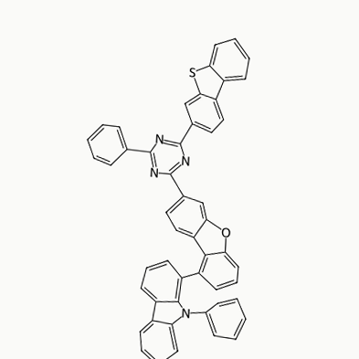 c1ccc(-c2nc(-c3ccc4c(c3)oc3cccc(-c5cccc6c7ccccc7n(-c7ccccc7)c56)c34)nc(-c3ccc4c(c3)sc3ccccc34)n2)cc1